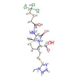 Cn1nnnc1SCC1=C(C(=O)O)N2C(=O)C(NC(=O)CSSC(Cl)(Cl)Cl)[C@H]2SC1